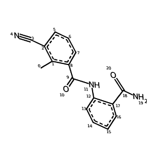 Cc1c(C#N)cccc1C(=O)Nc1ccccc1C(N)=O